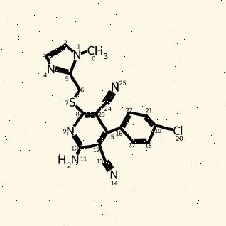 Cn1ccnc1CSc1nc(N)c(C#N)c(-c2ccc(Cl)cc2)c1C#N